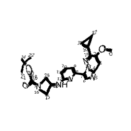 COc1cc2ncc(-c3cccc(NC4CCN(C(=O)OC(C)(C)C)C4)n3)n2nc1C1CC1